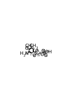 COc1c(C)cc(S(=O)(=O)CCOS(=O)(=O)O)cc1N